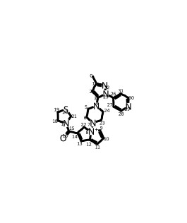 Cc1cc(N2CCN([N@@+]34C=CC=C3C=C(C(=O)N3CCSC3)C4)CC2)n(-c2ccncc2)n1